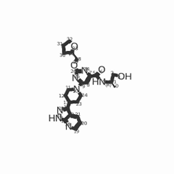 C[C@H](CO)NC(=O)c1cc(N2CCC(c3n[nH]c4ncccc34)CC2)nc(OC[C@H]2CCCO2)n1